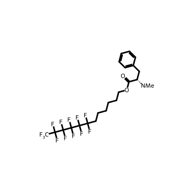 CN[C@@H](Cc1ccccc1)C(=O)OCCCCCCC(F)(F)C(F)(F)C(F)(F)C(F)(F)C(F)(F)C(F)(F)F